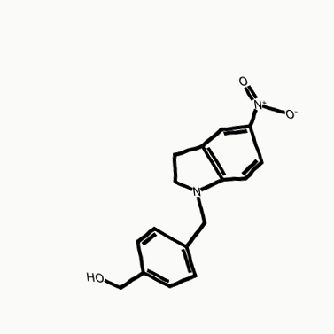 O=[N+]([O-])c1ccc2c(c1)CCN2Cc1ccc(CO)cc1